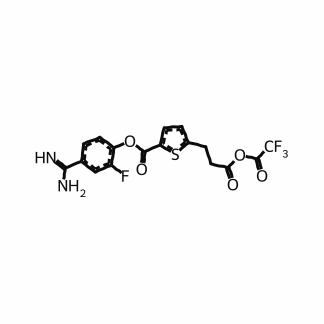 N=C(N)c1ccc(OC(=O)c2ccc(CCC(=O)OC(=O)C(F)(F)F)s2)c(F)c1